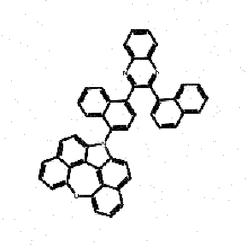 c1ccc2c(-c3nc4ccccc4nc3-c3ccc(-n4c5ccc6cccc7oc8cccc9ccc4c(c98)c5c67)c4ccccc34)cccc2c1